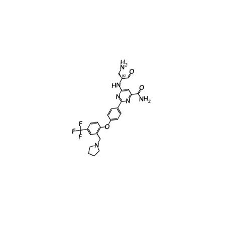 NC[C@@H](C=O)Nc1cc(C(N)=O)nc(-c2ccc(Oc3ccc(C(F)(F)F)cc3CN3CCCC3)cc2)n1